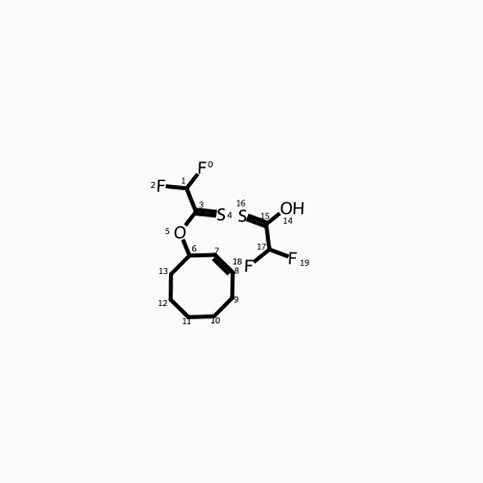 FC(F)C(=S)OC1/C=C\CCCCC1.OC(=S)C(F)F